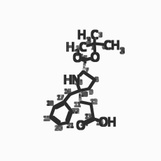 CC(C)(C)OC(=O)[C@@H]1CC[C@@](CCC(=O)O)(Cc2ccccc2)N1